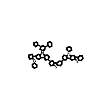 c1ccc(-c2cc(-c3ccccc3)cc(-n3c4ccc(-c5ccc6sc7ccc(-c8ccc9c(c8)c8cc%10sc%11ccccc%11c%10cc8n9-c8ccccc8)cc7c6c5)cc4c4cc5c(cc43)c3ccccc3n5-c3ccccc3)c2)cc1